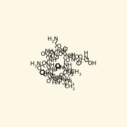 CSCC[C@H](NC(=O)[C@H](CC(C)C)NC(=O)CNC(=O)[C@H](Cc1ccccc1)NC(=O)[C@H](Cc1ccccc1)NC(=O)[C@H](CCC(N)=O)NC(=O)[C@H](CCC(N)=O)NC(=O)[C@@H]1CCCN1C(=O)[C@H](CCCCN)NC(=O)[C@@H]1CCCN1C(=O)[C@H](CCCNC(=N)N)NC(=O)CNC(=O)[C@@H]1CCCN1C(=O)[C@@H]1C[C@@H](O)CN1)C(=O)O